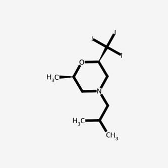 CC(C)CN1C[C@@H](C)O[C@@H](C(I)(I)I)C1